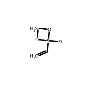 C=C[Si]1(CC)O[SiH2]O1